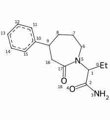 CCC(C(N)=O)N1CCCC(c2ccccc2)CC1=O